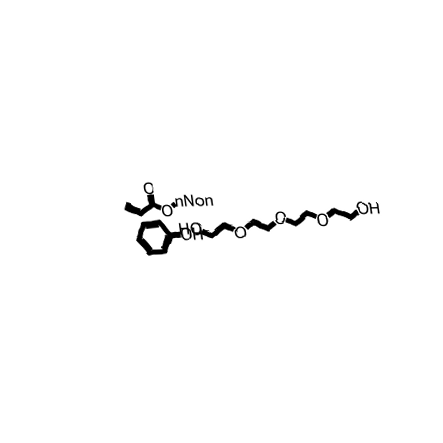 C=CC(=O)OCCCCCCCCC.OCCOCCOCCOCCO.Oc1ccccc1